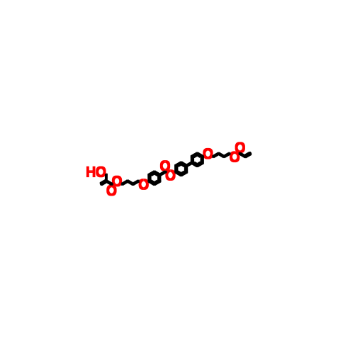 C=CC(=O)OCCCCOc1ccc(-c2ccc(OC(=O)c3ccc(OCCCCOC(=O)C(=C)CO)cc3)cc2)cc1